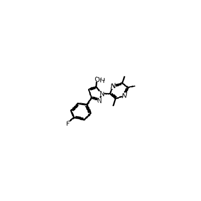 Cc1nc(C)c(-n2nc(-c3ccc(F)cc3)cc2O)nc1C